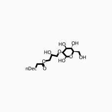 CCCCCCCCCCCC(=O)OCC(O)CO[C@@H]1[C@@H](O)[C@H](O)[C@@H](CO)O[C@H]1O